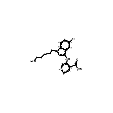 CNCCCCCn1nc(Nc2cnccc2C(=O)OC)c2cc(F)ccc21